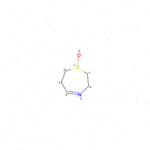 [O-][S+]1[C]C[C]=NCC1